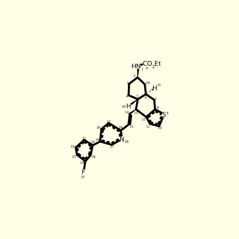 CCOC(=O)N[C@@H]1CC[C@@H]2[C@H](Cc3sccc3[C@H]2/C=C/c2ccc(-c3cccc(F)c3)cn2)C1